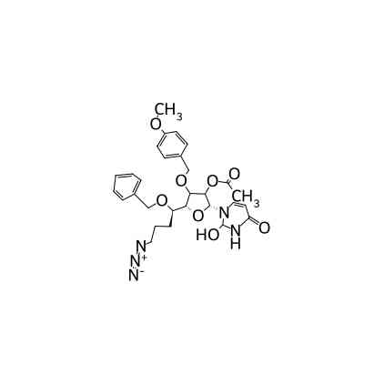 COc1ccc(COC2C(OC(C)=O)[C@H](N3C=CC(=O)NC3O)O[C@@H]2[C@@H](CCCN=[N+]=[N-])OCc2ccccc2)cc1